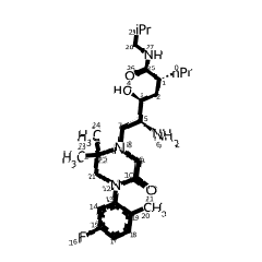 CCC[C@H](C[C@H](O)[C@@H](N)CN1CC(=O)N(c2cc(F)ccc2C)CC1(C)C)C(=O)NCC(C)C